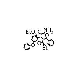 CCOC(=O)C1=C(N)Oc2c(c(=O)n(CC)c3ccccc23)C1c1cccc(Oc2ccccc2)c1